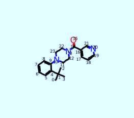 CC(C)(C)c1ccccc1N1CCN(C(=O)c2cccnc2)CC1